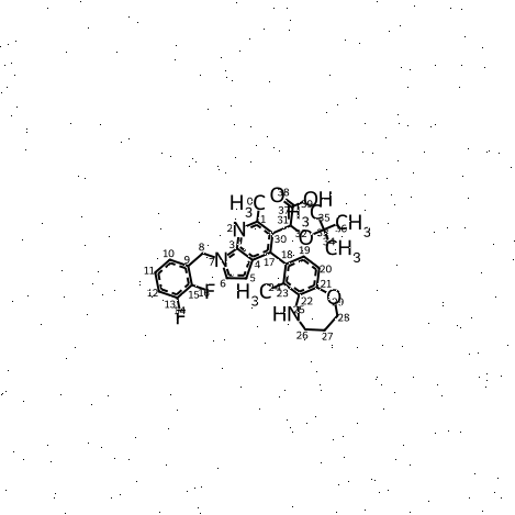 Cc1nc2c(ccn2Cc2cccc(F)c2F)c(-c2ccc3c(c2C)NCCCO3)c1C(OC(C)(C)C)C(=O)O